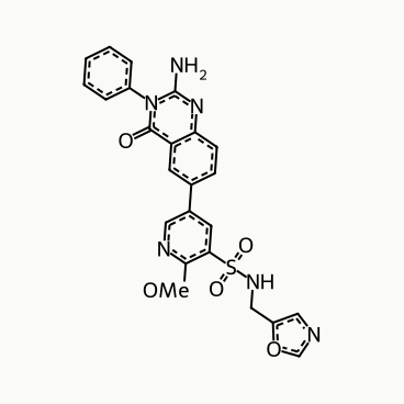 COc1ncc(-c2ccc3nc(N)n(-c4ccccc4)c(=O)c3c2)cc1S(=O)(=O)NCc1cnco1